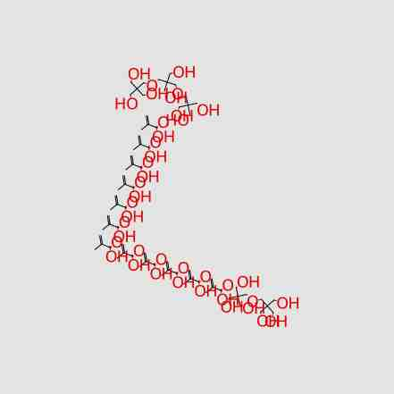 C=C(C)C(=O)O.C=C(C)C(=O)O.C=C(C)C(=O)O.C=C(C)C(=O)O.C=C(C)C(=O)O.C=C(C)C(=O)O.C=C(C)C(=O)O.C=C(C)C(=O)O.C=C(C)C(=O)O.C=C(C)C(=O)O.C=C(C)C(=O)O.C=C(C)C(=O)O.OCC(CO)(CO)COCC(CO)(CO)CO.OCC(CO)(CO)COCC(CO)(CO)COCC(CO)(CO)CO